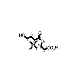 C[N+](C)(C)C[C@@H](CC(=O)O)OC(=O)CCCO